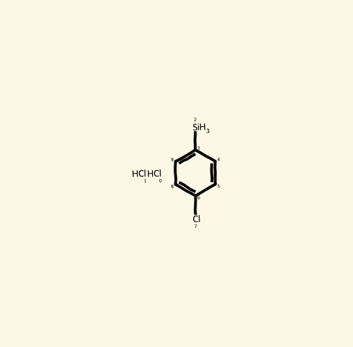 Cl.Cl.[SiH3]c1ccc(Cl)cc1